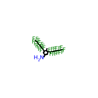 Cc1c(C(F)(F)C(F)(F)C(F)(F)C(F)(F)C(F)(F)C(F)(F)F)cc(CN)cc1C(F)(F)C(F)(F)C(F)(F)C(F)(F)C(F)(F)C(F)(F)F